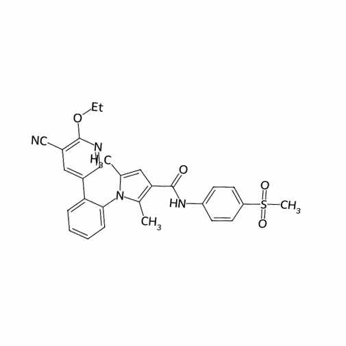 CCOc1ncc(-c2ccccc2-n2c(C)cc(C(=O)Nc3ccc(S(C)(=O)=O)cc3)c2C)cc1C#N